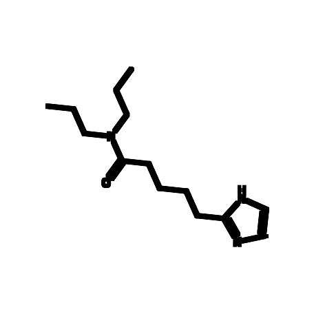 CCCN(CCC)C(=O)CCCCc1n[c]c[nH]1